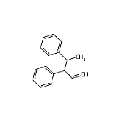 [CH]=CC(c1ccccc1)C(C)c1ccccc1